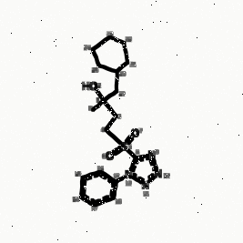 CC(O)(CCS(=O)(=O)c1nnnn1-c1ccccc1)CC1CCCCC1